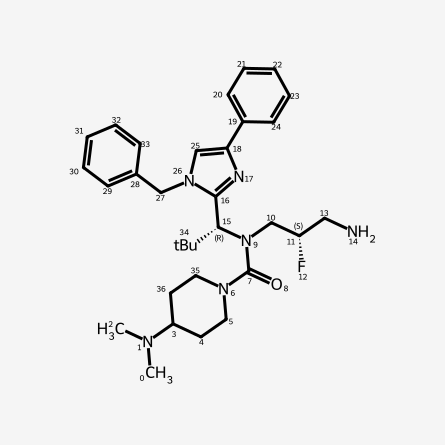 CN(C)C1CCN(C(=O)N(C[C@@H](F)CN)[C@@H](c2nc(-c3ccccc3)cn2Cc2ccccc2)C(C)(C)C)CC1